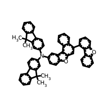 CC1(C)c2ccccc2-c2ccc(N(c3ccc4c(c3)C(C)(C)c3ccccc3-4)c3ccc4oc5cc(-c6cccc7oc8ccccc8c67)c6ccccc6c5c4c3)cc21